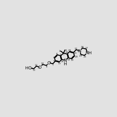 CC1(C)c2ccc(COCCOCCO)cc2Nc2ccc(CN3CCNCC3)cc21